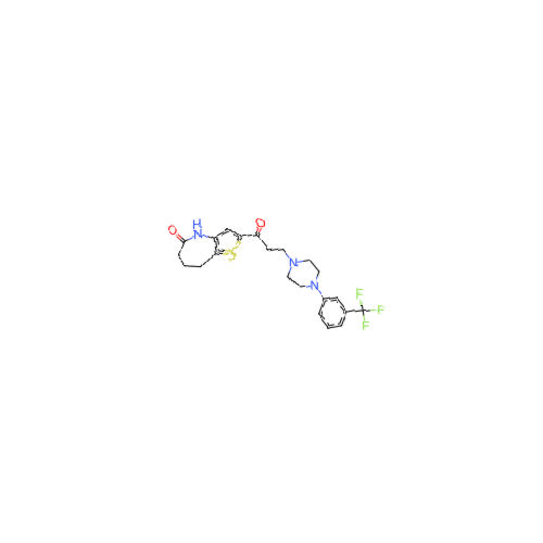 O=C1CCCc2sc(C(=O)CCN3CCN(c4cccc(C(F)(F)F)c4)CC3)cc2N1